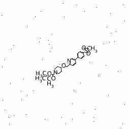 CC(C)(C)OC(=O)N1CCC(OCc2ccc(-c3ccc(S(C)(=O)=O)cc3)cn2)CC1